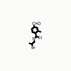 CC/C(=N\C=C(/C)Br)c1ccc(C=O)cc1C